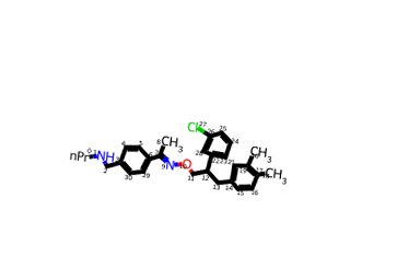 [CH2]CCNCc1ccc(/C(C)=N/OCC(Cc2ccc(C)c(C)c2)c2cccc(Cl)c2)cc1